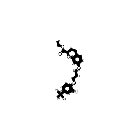 CCOC(=O)C1CCc2ccc(OCCCOc3ccc(C(C)(C)C)cc3Cl)cc2O1